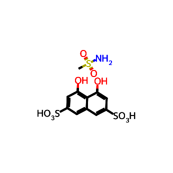 CS(N)(=O)=O.O=S(=O)(O)c1cc(O)c2c(O)cc(S(=O)(=O)O)cc2c1